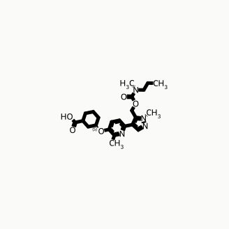 CCCN(C)C(=O)OCc1c(-c2ccc(O[C@H]3CCCC(C(=O)O)C3)c(C)n2)cnn1C